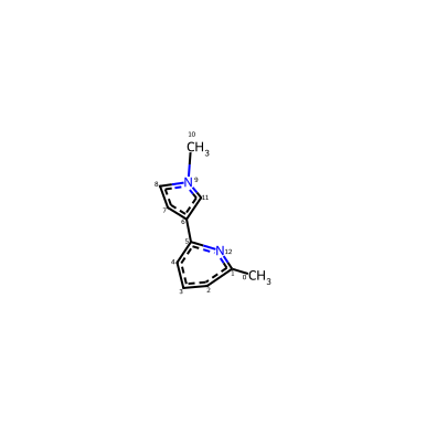 Cc1cccc(-c2ccn(C)c2)n1